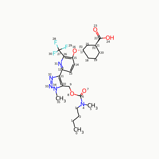 CCCCN(C)C(=O)OCc1c(-c2ccc(O[C@H]3CCC[C@H](C(=O)O)C3)c(C(F)(F)F)n2)nnn1C